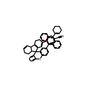 N#CC1C=CC(C2=CC3=C(CC2)C2C=CCCC2C32C3=CCCC=C3Oc3ccc(-c4c5ccccc5c(C5=CCCCC5)c5ccccc45)cc32)=CC1